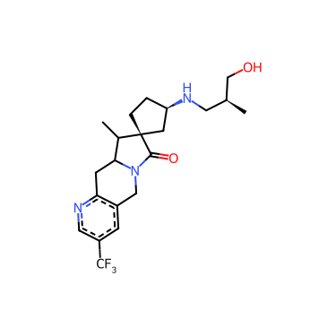 CC1C2Cc3ncc(C(F)(F)F)cc3CN2C(=O)[C@]12CC[C@@H](NC[C@H](C)CO)C2